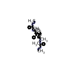 C=C(/C=C\C(=C)N(C/C=C\C=C/C)c1ccccc1)c1cc2c(s1)C1(OCCO1)c1sc(/C(C)=C/C=C(\C)N(C/C=C\C=C/C)c3ccccc3)cc1P2c1ccccc1